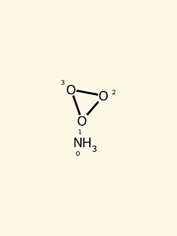 N.o1oo1